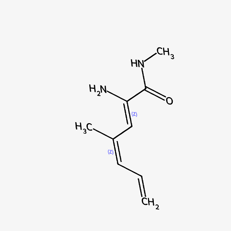 C=C/C=C(C)\C=C(/N)C(=O)NC